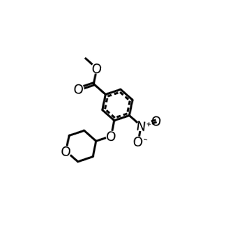 COC(=O)c1ccc([N+](=O)[O-])c(OC2CCOCC2)c1